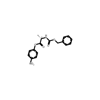 C[C@H](NC(=O)OCc1ccccc1)C(=O)Oc1ccc([N+](=O)[O-])cc1